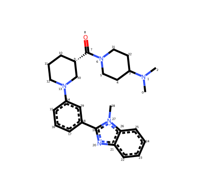 CN(C)C1CCN(C(=O)[C@H]2CCCN(c3cccc(-c4nc5ccccc5n4C)c3)C2)CC1